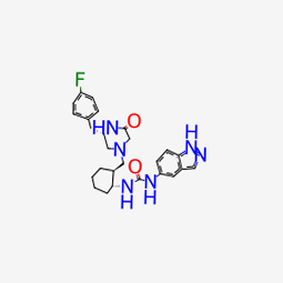 O=C1CN(C[C@@H]2CCCC[C@H]2NC(=O)Nc2ccc3[nH]ncc3c2)C[C@H](Cc2ccc(F)cc2)N1